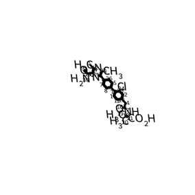 Cc1nc(C)c(-c2ccc(-c3ccc(CC(=O)NC(C)(C)C(=O)O)cc3Cl)cc2)nc1C(N)=O